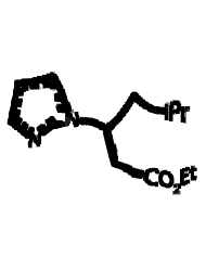 CCOC(=O)CC(CC(C)C)n1cccn1